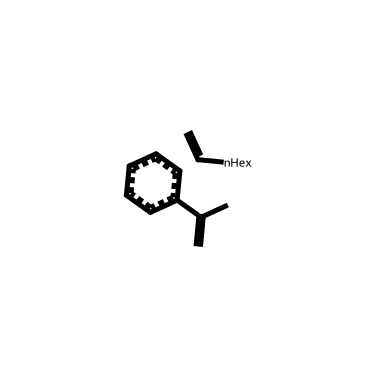 C=C(C)c1ccccc1.C=CCCCCCC